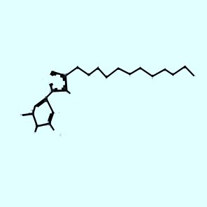 CCCCCCCCCCCCc1coc(C2=CC(O)C(O)C(O)=C2)c1O